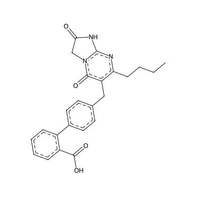 CCCCc1nc2n(c(=O)c1Cc1ccc(-c3ccccc3C(=O)O)cc1)CC(=O)N2